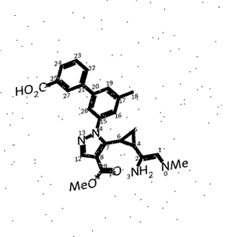 CN/C=C(\N)C1CC1c1c(C(=O)OC)cnn1-c1cc(C)cc(-c2cccc(C(=O)O)c2)c1